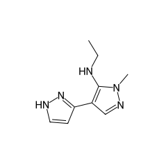 CCNc1c(-c2cc[nH]n2)cnn1C